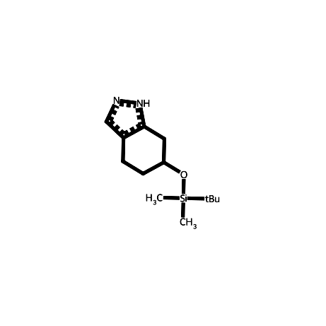 CC(C)(C)[Si](C)(C)OC1CCc2cn[nH]c2C1